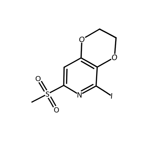 CS(=O)(=O)c1cc2c(c(I)n1)OCCO2